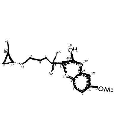 COc1ccc2nc(C(F)(F)CCCC[C@@H]3CC3C)c(O)nc2c1